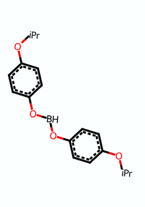 CC(C)Oc1ccc(OBOc2ccc(OC(C)C)cc2)cc1